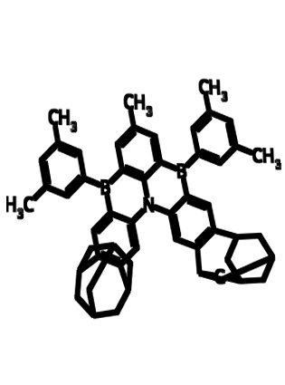 Cc1cc(C)cc(B2c3cc4c(cc3N3c5cc6c(cc5B(c5cc(C)cc(C)c5)c5cc(C)cc2c53)C2CC3CC(C2)CC6C3)C2CC3CC(CC4C3)C2)c1